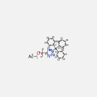 CC(=O)COC(C)(C)c1nnn(C(c2ccccc2)(c2ccccc2)c2ccccc2)n1